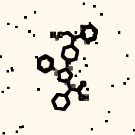 CCN(c1ncccn1)C1CCN([C@@H]2CN([C@@H](C(=O)O)C3CCCCC3)C[C@@H]2c2ccccc2)CC1